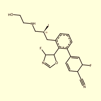 N#CC1C=CC(c2cccc(C[C@H](I)CNCCO)c2C2OC=NC2F)=CC1F